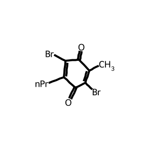 CCCC1=C(Br)C(=O)C(C)=C(Br)C1=O